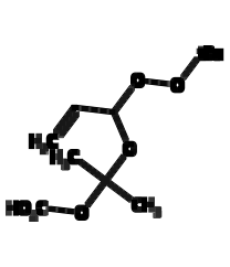 C=CC(OOC(C)(C)C)OC(C)(C)OC(=O)O